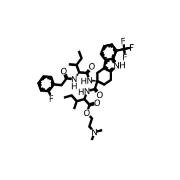 CCC(C)C(NC(=O)[C@@]1(NC(=O)[C@@H](NC(=O)Cc2ccccc2F)C(C)CC)CCc2[nH]c3c(C(F)(F)F)cccc3c2C1)C(=O)OCCN(C)C